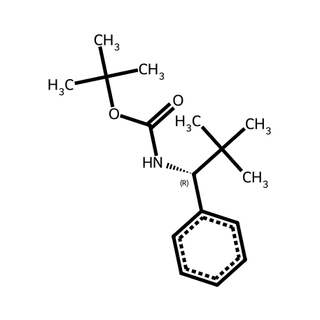 CC(C)(C)OC(=O)N[C@@H](c1ccccc1)C(C)(C)C